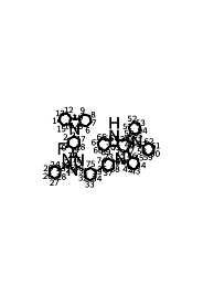 Fc1cc(-n2c3ccccc3c3ccccc32)ccc1-c1nc(-c2ccccc2)nc(-c2cccc(-c3ccc(-n4c5ccccc5c5c6c(c7ccccc7n6-c6ccccc6)c6[nH]c7ccccc7c6c54)cc3)c2)n1